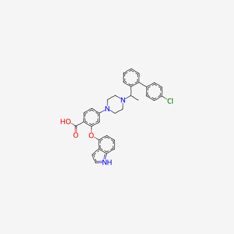 CC(c1ccccc1-c1ccc(Cl)cc1)N1CCN(c2ccc(C(=O)O)c(Oc3cccc4[nH]ccc34)c2)CC1